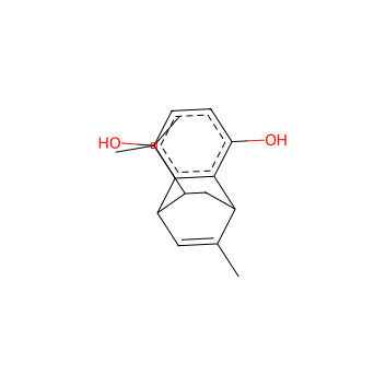 CC1=CC2c3c(O)ccc(O)c3C1CC2C(C)C